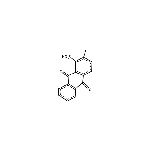 Cc1ccc2c(c1S(=O)(=O)O)C(=O)c1ccccc1C2=O